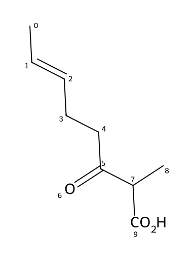 CC=CCCC(=O)C(C)C(=O)O